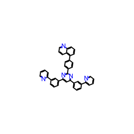 c1ccc(-c2cccc(-c3cc(-c4cccc(-c5ccccn5)c4)nc(-c4ccc(-c5cccc6ncccc56)cc4)n3)c2)nc1